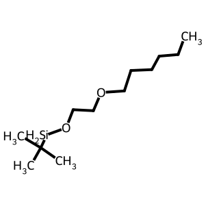 CCCCCCOCCO[SiH2]C(C)(C)C